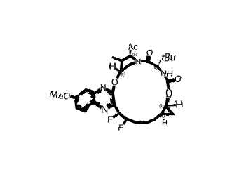 COc1ccc2nc3c(nc2c1)O[C@H]1CN(C(=O)[C@H](C(C)(C)C)NC(=O)O[C@@H]2C[C@H]2CCCC(F)C3F)[C@H](C(C)=O)C1C